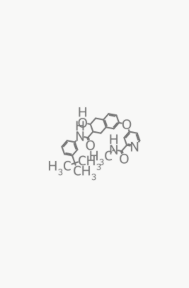 CNC(=O)c1cc(Oc2ccc3c(c2)CC(C(=O)Nc2cccc(C(C)(C)C)c2)C(O)C3)ccn1